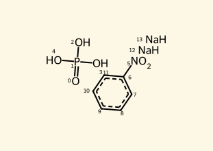 O=P(O)(O)O.O=[N+]([O-])c1ccccc1.[NaH].[NaH]